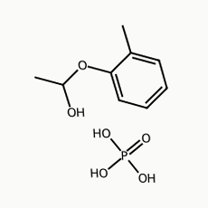 Cc1ccccc1OC(C)O.O=P(O)(O)O